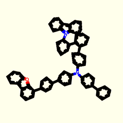 c1ccc(-c2ccc(N(c3ccc(-c4ccc(-c5cccc6c5oc5ccccc56)cc4)cc3)c3ccc(-c4ccccc4-c4ccccc4-n4c5ccccc5c5ccccc54)cc3)cc2)cc1